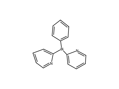 c1cc[c]([Bi]([c]2ccccn2)[c]2ccccn2)cc1